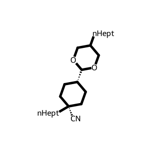 CCCCCCCC1COC([C@H]2CC[C@](C#N)(CCCCCCC)CC2)OC1